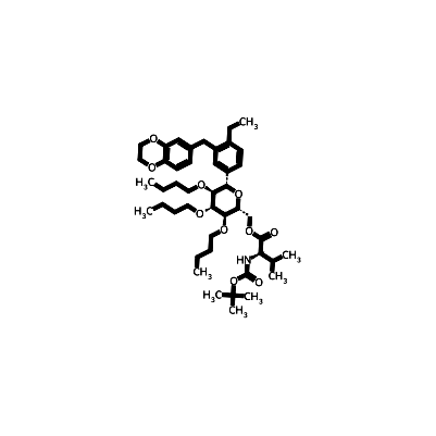 CCCCO[C@@H]1[C@@H](OCCCC)[C@H](c2ccc(CC)c(Cc3ccc4c(c3)OCCO4)c2)O[C@H](COC(=O)[C@H](NC(=O)OC(C)(C)C)C(C)C)[C@H]1OCCCC